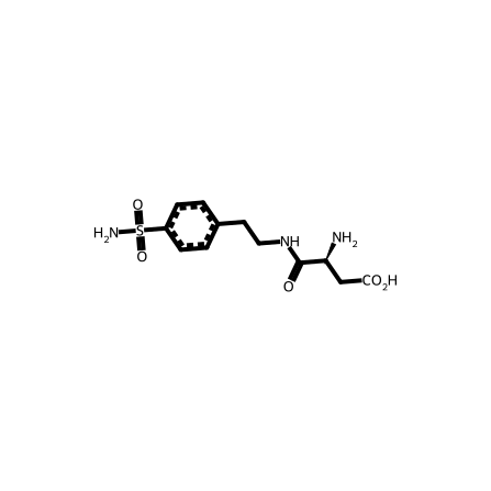 N[C@@H](CC(=O)O)C(=O)NCCc1ccc(S(N)(=O)=O)cc1